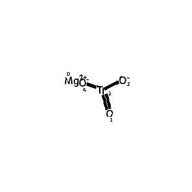 [Mg+2].[O]=[Ti]([O-])[O-]